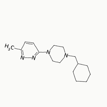 Cc1ccc(N2CCN(CC3CCCCC3)CC2)nn1